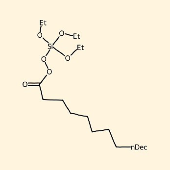 CCCCCCCCCCCCCCCCCC(=O)OO[Si](OCC)(OCC)OCC